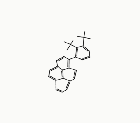 CC(C)(C)c1cccc(-c2ccc3ccc4cccc5ccc2c3c45)c1C(C)(C)C